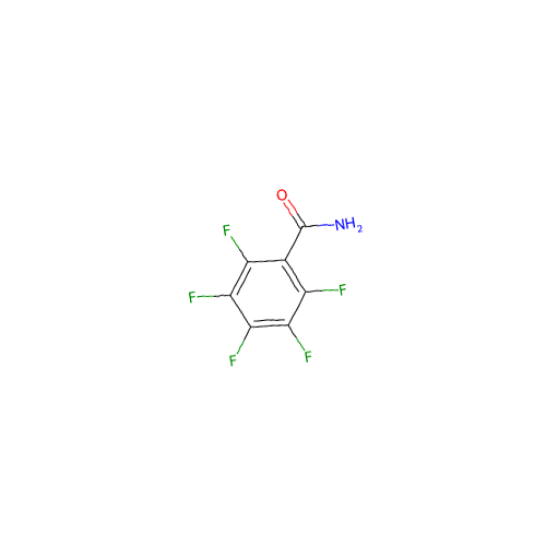 NC(=O)c1c(F)c(F)c(F)c(F)c1F